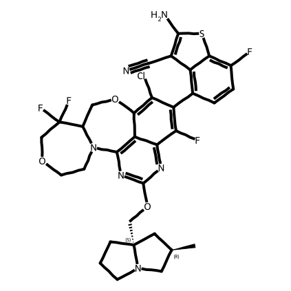 C[C@H]1CN2CCC[C@@]2(COc2nc3c4c(c(Cl)c(-c5ccc(F)c6sc(N)c(C#N)c56)c(F)c4n2)OCC2N3CCOCC2(F)F)C1